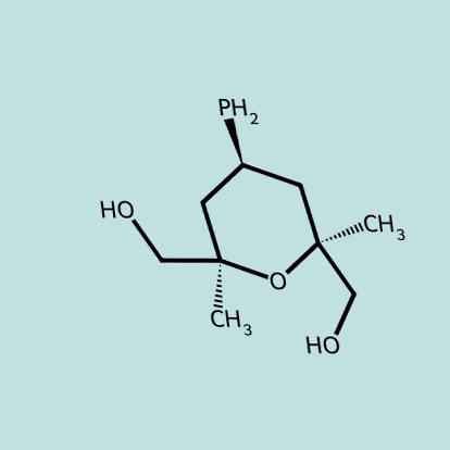 C[C@]1(CO)C[C@@H](P)C[C@@](C)(CO)O1